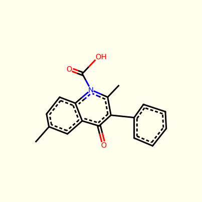 Cc1ccc2c(c1)c(=O)c(-c1ccccc1)c(C)n2C(=O)O